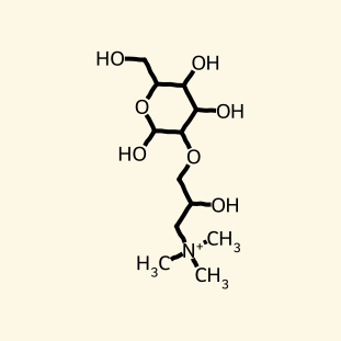 C[N+](C)(C)CC(O)COC1C(O)OC(CO)C(O)C1O